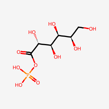 O=C(OP(=O)(O)O)[C@H](O)[C@H](O)[C@@H](O)[C@H](O)CO